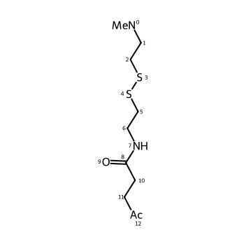 CNCCSSCCNC(=O)CCC(C)=O